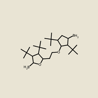 BC1CC(C(C)(C)C)C(OCCC2OC(B)C(C(C)(C)C)C2C(C)(C)C)C1C(C)(C)C